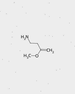 C=C(CCN)OC